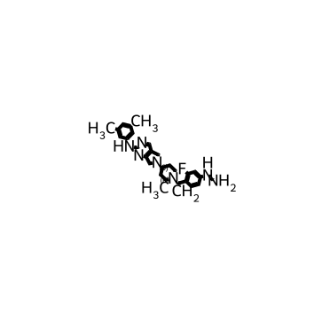 C=C(c1ccc(NN)cc1F)N1CC[C@H](N2Cc3cnc(Nc4cc(C)cc(C)c4)nc3C2)C[C@H]1C